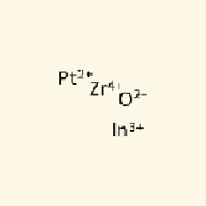 [In+3].[O-2].[Pt+2].[Zr+4]